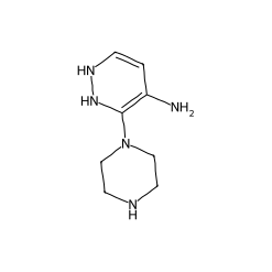 NC1=C(N2CCNCC2)NNC=C1